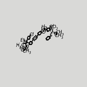 CCn1c(C)c(C(=O)NS(C)(=O)=O)c(-c2cccc(N3CCN(c4ccc(NS(=O)(=O)c5ccc(N[C@H](CCN(C)C)CSc6ccccc6)c([N+](=O)[O-])c5)cc4)CC3)c2)c1-c1ccc(Cl)cc1